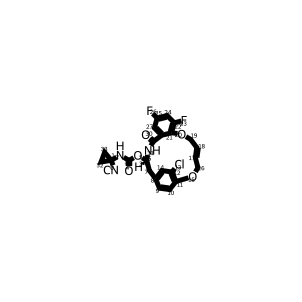 N#CC1(NC(=O)O[C@H]2Cc3ccc(c(Cl)c3)OC/C=C/COc3c(F)cc(F)cc3C(=O)N2)CC1